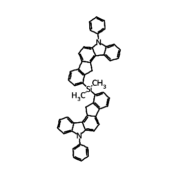 C[Si](C)(c1cccc2c1Cc1c-2ccc2c1c1ccccc1n2-c1ccccc1)c1cccc2c1Cc1c-2ccc2c1c1ccccc1n2-c1ccccc1